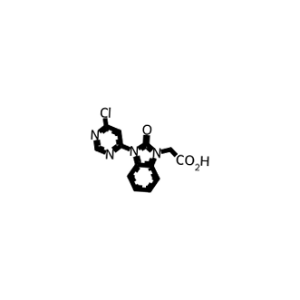 O=C(O)Cn1c(=O)n(-c2cc(Cl)ncn2)c2ccccc21